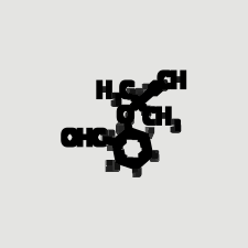 C#CC(C)(C)Oc1ccccc1C=O